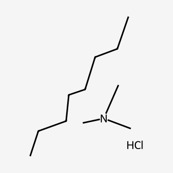 CCCCCCCC.CN(C)C.Cl